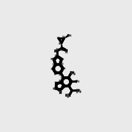 Cc1c(F)c(C(C)N)c2[nH]ncc2c1-c1ccc2nc(NC(=O)[C@@H]3C[C@@H]3F)cn2c1